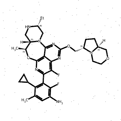 CC[C@@H]1CN2c3nc(OC[C@@H]4CC[C@H]5COCCN54)nc4c(F)c(-c5c(F)c(N)cc(C)c5C5CC5)nc(c34)O[C@@H](C)[C@@H]2CN1